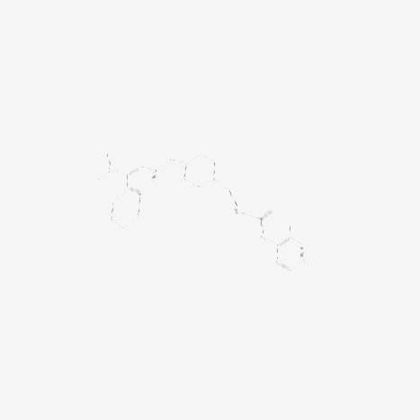 CN(C)c1nc(NC2CCC(CNC(=O)Nc3ccc(Cl)cc3C(F)(F)F)CC2)nc2c1CCCC2